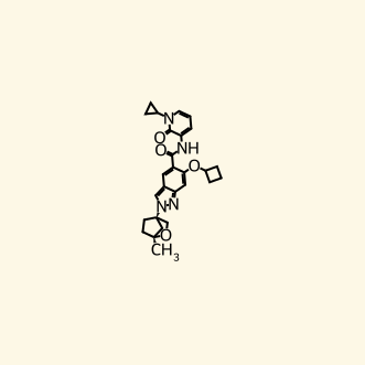 C[C@]12CC[C@](n3cc4cc(C(=O)Nc5cccn(C6CC6)c5=O)c(OC5CCC5)cc4n3)(CO1)C2